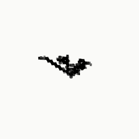 CCCCCCCCCCCCCCCCCCOC[C@H](COCc1cc(F)cc(S(C)(=O)=O)c1)OP(=O)(O)OC1[C@H]2O[C@@](C#N)(c3ccc4c(N)ncnn34)[C@H](O)[C@@]12O